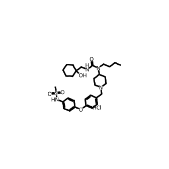 CCCCN(C(=O)NCC1(O)CCCCC1)C1CCN(Cc2ccc(Oc3ccc(NS(C)(=O)=O)cc3)cc2)CC1.Cl